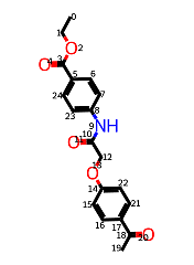 CCOC(=O)c1ccc(NC(=O)COc2ccc(C(C)=O)cc2)cc1